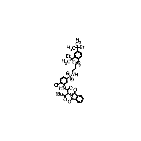 CCC(C)(C)c1ccc(OCCCNS(=O)(=O)c2ccc(Cl)c(NC(=O)C(C(=O)C(C)(C)C)N3C(=O)c4ccccc4C3=O)c2)c(C(C)(C)CC)c1